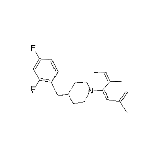 C=C(C)/C=C(\C(C)=C/C)N1CCC(Cc2ccc(F)cc2F)CC1